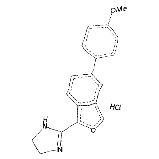 COc1ccc(-c2ccc3c(C4=NCCN4)occ3c2)cc1.Cl